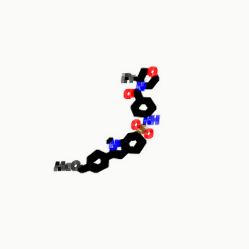 COCc1ccc(-c2cc3ccc(S(=O)(=O)NC4CCC(C(=O)N5CCOC[C@@H]5C(C)C)CC4)cc3n2C)cc1